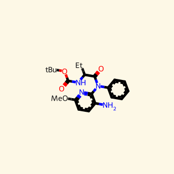 CCC(NC(=O)OC(C)(C)C)C(=O)N(c1ccccc1)c1nc(OC)ccc1N